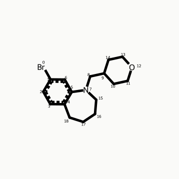 Brc1ccc2c(c1)N(CC1CCOCC1)CCCC2